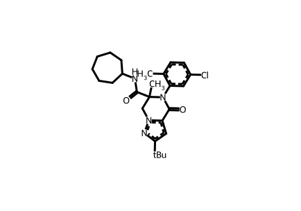 Cc1ccc(Cl)cc1N1C(=O)c2cc(C(C)(C)C)nn2CC1(C)C(=O)NC1CCCCCC1